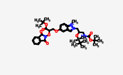 C[n+]1c2ccc(OCC(ON3C(=O)c4ccccc4C3=O)C(=O)OC(C)(C)C)cc2cn1CC(CNC(=O)OC(C)(C)C)O[Si](C)(C)C(C)(C)C